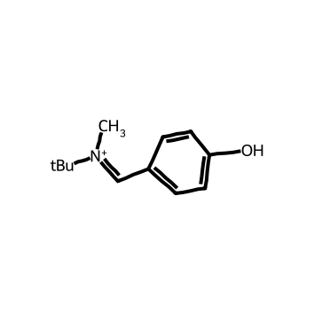 C/[N+](=C\c1ccc(O)cc1)C(C)(C)C